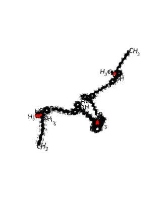 CCCCCCCCCCCC[N+](C)(CCC)CC(O)(c1ccccc1)c1ccc(OCCCCCCCc2ccc(C(O)(CCCCCCCC[Si]34OC5CC6C7C8CCC9O[Si]%10(CCCCCCCCC(O)(c%11ccccc%11)c%11ccc(OCCCCCCOc%12ccc(C(O)(C[N+](C)(CCC)CCCCCCCCCCCC)c%13ccccc%13)cc%12)cc%11)OC9(C)C8(O%10)C7(O3)C56O4)c3ccccc3)cc2)cc1